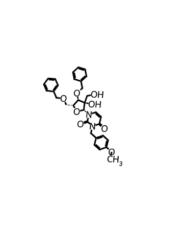 COc1ccc(Cn2c(=O)ccn([C@@H]3O[C@H](COCc4ccccc4)[C@@H](OCc4ccccc4)[C@]3(O)CO)c2=O)cc1